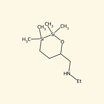 CCNCC1CC[Si](C)(C)[Si](C)(C)O1